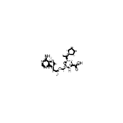 C/C(=N\OP(CO[C@H](C)Cn1cnc2c(N)ncnc21)N[C@@H](C)C(=O)O)C1CCCC1